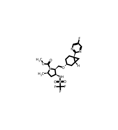 COC(=O)N1[C@H](C)C[C@H](NS(=O)(=O)C(F)(F)F)[C@@H]1CO[C@@H]1CC[C@]2(c3ncc(F)cn3)C[C@@H]2C1